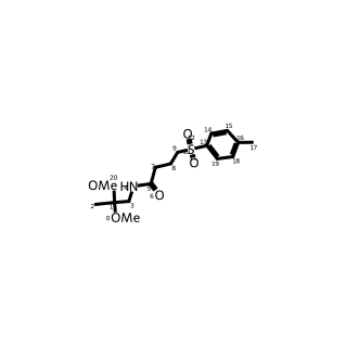 COC(C)(CNC(=O)CCCS(=O)(=O)c1ccc(C)cc1)OC